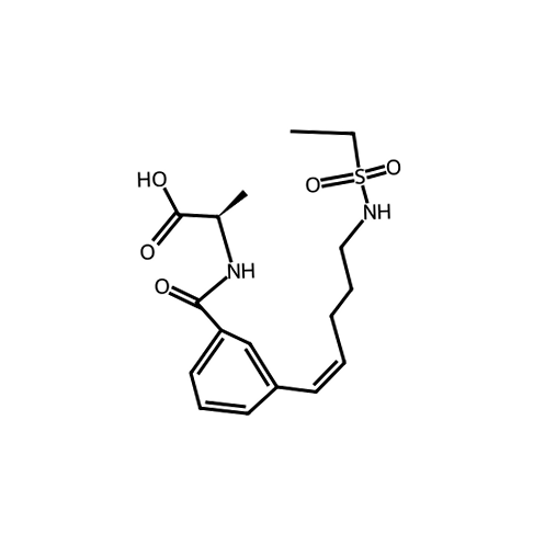 CCS(=O)(=O)NCCC/C=C\c1cccc(C(=O)N[C@H](C)C(=O)O)c1